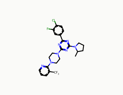 CC1CCCN1c1nc(-c2ccc(Cl)c(F)c2)nc(N2CCN(c3ncccc3C(F)(F)F)CC2)n1